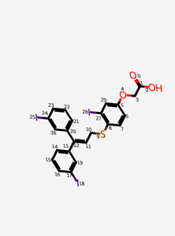 O=C(O)COc1ccc(SCC=C(c2cccc(I)c2)c2cccc(I)c2)c(I)c1